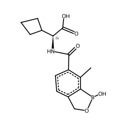 Cc1c(C(=O)N[C@H](C(=O)O)C2CCC2)ccc2c1B(O)OC2